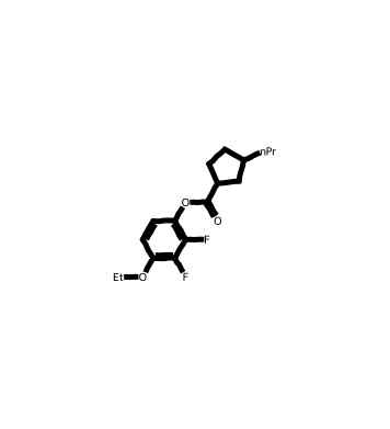 CCCC1CCC(C(=O)Oc2ccc(OCC)c(F)c2F)C1